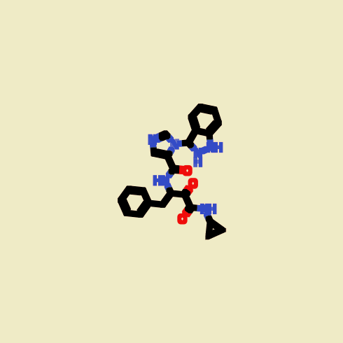 O=C(NC1CC1)C(=O)C(Cc1ccccc1)NC(=O)c1cncn1C1NNc2ccccc21